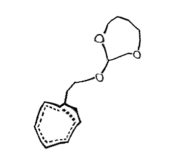 c1ccc(CO[C]2OCCO2)cc1